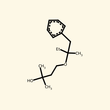 CCC(C)(Cc1ccccc1)OCCC(C)(C)O